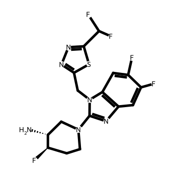 N[C@@H]1CN(c2nc3cc(F)c(F)cc3n2Cc2nnc(C(F)F)s2)CC[C@H]1F